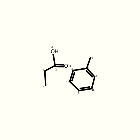 CCC(=O)O.Cc1ccccc1